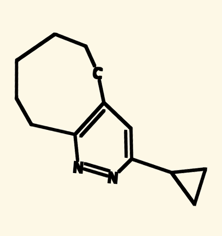 c1c(C2CC2)nnc2c1CCCCCC2